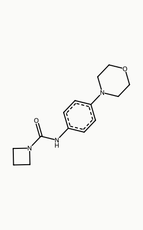 O=C(Nc1ccc(N2CCOCC2)cc1)N1CCC1